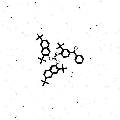 CC(C)(C)c1ccc2cc(OP(Oc3ccc(C(=O)c4ccccc4)cc3C(C)(C)C)Oc3cc4ccc(C(C)(C)C)cc4cc3C(C)(C)C)c(C(C)(C)C)cc2c1